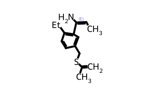 C=C(C)SCc1ccc(CC)c(/C(N)=C\C)c1